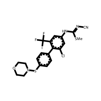 CS/C(=N\C#N)Nc1cc(Cl)c(-c2ccc(SN3CCOCC3)cc2)c(C(F)(F)I)c1